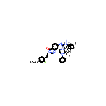 COc1ccc(CCn2cnc3cc(N=C(NC4C[C@H]5C[C@H]([C@H]4C)C5(C)C)N4CCN(c5ccccc5)CC4)ccc3c2=O)c(F)c1